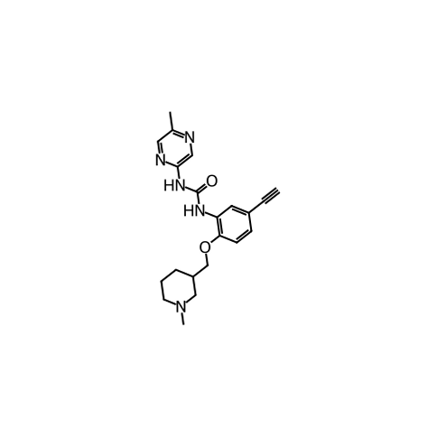 C#Cc1ccc(OCC2CCCN(C)C2)c(NC(=O)Nc2cnc(C)cn2)c1